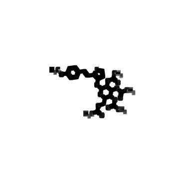 COc1ccc(C=Cc2sccc2OC2OC(COC(C)=O)C(OC(C)=O)C(OC(C)=O)C2OC(C)=O)cc1